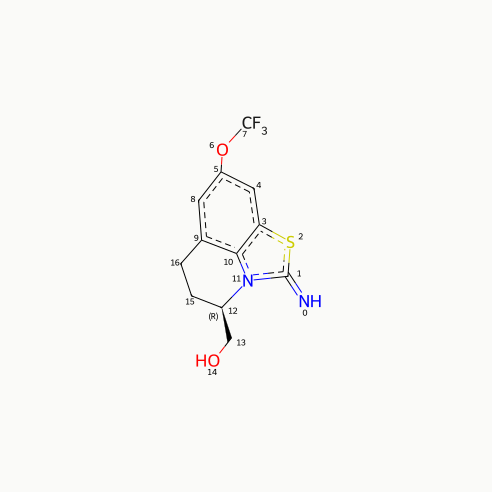 N=c1sc2cc(OC(F)(F)F)cc3c2n1[C@@H](CO)CC3